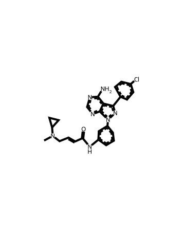 CN(CC=CC(=O)Nc1cccc(-n2nc(-c3ccc(Cl)cc3)c3c(N)ncnc32)c1)C1CC1